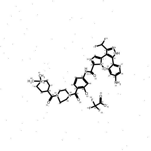 Cn1c(-c2c(C(F)F)n[nH]c2-c2ccc(N)cn2)cnc1C(=O)Nc1ccc(C(=O)N2CCN(C(=O)C3CC[N+](C)(C)CC3)CC2)c(Cl)c1.O=C([O-])C(F)(F)F